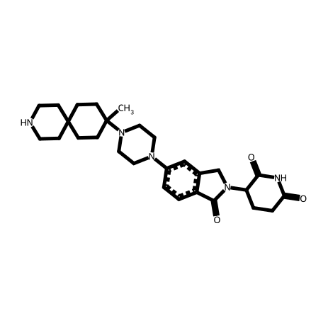 CC1(N2CCN(c3ccc4c(c3)CN(C3CCC(=O)NC3=O)C4=O)CC2)CCC2(CCNCC2)CC1